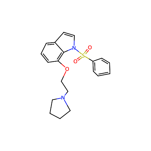 O=S(=O)(c1ccccc1)n1ccc2cccc(OCCN3CCCC3)c21